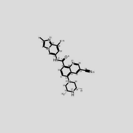 Cc1cn2cc(NC(=O)c3ccc(N4C[C@@H](C)N[C@@H](C)C4)c4cc(C#N)cnc34)cc(F)c2n1